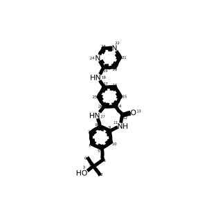 CC(C)(O)Cc1ccc2c(c1)NC(=O)c1ccc(Nc3ccncn3)cc1N2